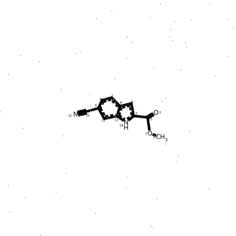 COC(=O)c1cc2ccc(C#N)cc2[nH]1